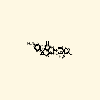 C[C@@H]1OCC2(CCN(c3nc4[nH]nc(C5(c6ccc(N)cc6)CC5)c4c(=O)[nH]3)CC2)[C@@H]1N